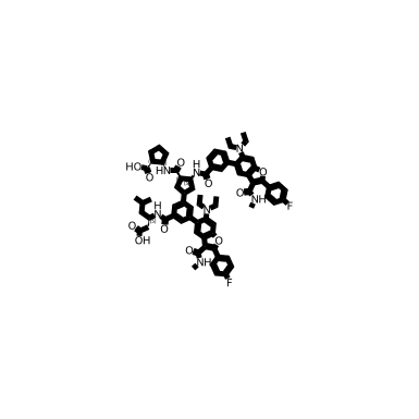 CCN(CC)c1cc2oc(-c3ccc(F)cc3)c(C(=O)NC)c2cc1-c1cccc(C(=O)N[C@H]2CC(c3cc(C(=O)N[C@H](CC(=O)O)CC(C)C)cc(-c4cc5c(C(=O)NC)c(-c6ccc(F)cc6)oc5cc4N(CC)CC)c3)C[C@H]2C(=O)N[C@H]2CCC[C@H]2C(=O)O)c1